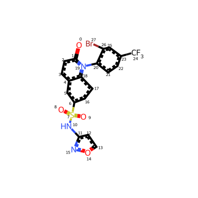 O=c1ccc2cc(S(=O)(=O)Nc3ccon3)ccc2n1-c1ccc(C(F)(F)F)cc1Br